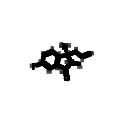 [2H][C@]1(CC=C)c2ccc(F)cc2C(=O)N1C